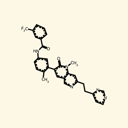 Cc1ccc(NC(=O)c2cccc(C(F)(F)F)c2)cc1-c1cc2cnc(CCc3ccncn3)cc2n(C)c1=O